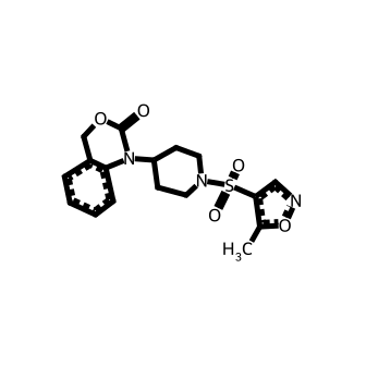 Cc1oncc1S(=O)(=O)N1CCC(N2C(=O)OCc3ccccc32)CC1